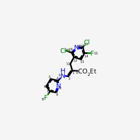 CCOC(=O)C(=CNc1ccc(F)cn1)Cc1cc(F)c(Cl)nc1Cl